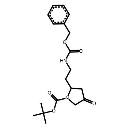 CC(C)(C)OC(=O)N1CC(=O)CC1CCNC(=O)OCc1ccccc1